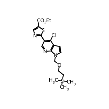 CCOC(=O)c1cnc(-c2cnc3c(ccn3COCC[Si](C)(C)C)c2Cl)s1